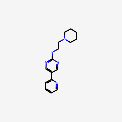 c1ccc(-c2cnc(NCCN3CCCCC3)nc2)nc1